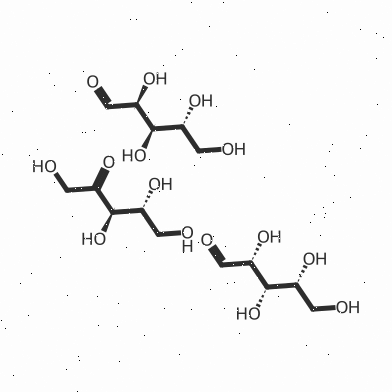 O=C(CO)[C@H](O)[C@H](O)CO.O=C[C@@H](O)[C@H](O)[C@H](O)CO.O=C[C@H](O)[C@@H](O)[C@H](O)CO